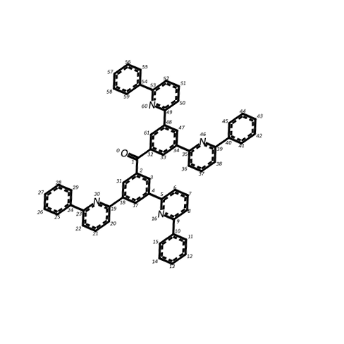 O=C(c1cc(-c2cccc(-c3ccccc3)n2)cc(-c2cccc(-c3ccccc3)n2)c1)c1cc(-c2cccc(-c3ccccc3)n2)cc(-c2cccc(-c3ccccc3)n2)c1